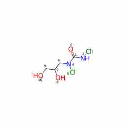 O=C(NCl)N(Cl)CC(O)CO